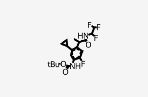 CC(C(=O)NC(F)C(F)F)c1cc(F)c(NC(=O)OC(C)(C)C)cc1C1CC1